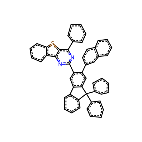 c1ccc(-c2nc(-c3cc4c(cc3-c3ccc5ccccc5c3)C(c3ccccc3)(c3ccccc3)c3ccccc3-4)nc3c2sc2ccccc23)cc1